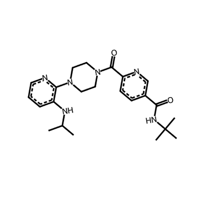 CC(C)Nc1cccnc1N1CCN(C(=O)c2ccc(C(=O)NC(C)(C)C)cn2)CC1